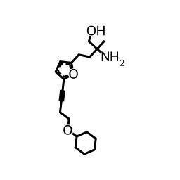 CC(N)(CO)CCc1ccc(C#CCCOC2CCCCC2)o1